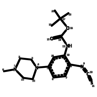 CN1CCN(c2ccc(N=C=S)c(NC(=O)OC(C)(C)C)c2)CC1